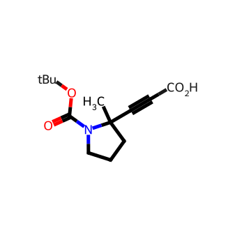 CC(C)(C)OC(=O)N1CCCC1(C)C#CC(=O)O